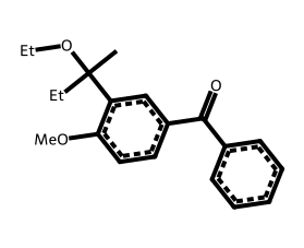 CCOC(C)(CC)c1cc(C(=O)c2ccccc2)ccc1OC